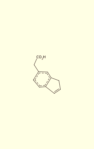 O=C(O)Cc1ccc2c(c1)CC=C2